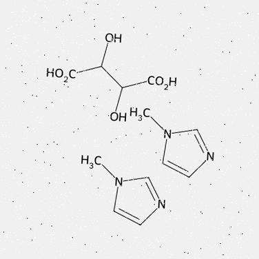 Cn1ccnc1.Cn1ccnc1.O=C(O)C(O)C(O)C(=O)O